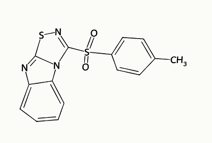 Cc1ccc(S(=O)(=O)c2nsc3nc4ccccc4n23)cc1